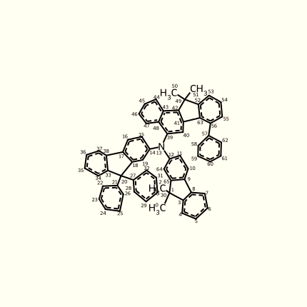 CC1(C)c2ccccc2-c2ccc(N(c3ccc4c(c3)C(c3ccccc3)(c3ccccc3)c3ccccc3-4)c3cc4c(c5ccccc35)C(C)(C)c3cccc(-c5ccccc5)c3-4)cc21